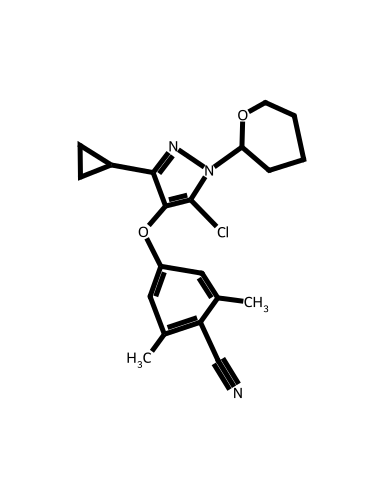 Cc1cc(Oc2c(C3CC3)nn(C3CCCCO3)c2Cl)cc(C)c1C#N